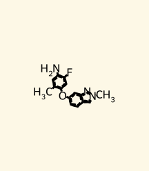 Cc1cc(N)c(F)cc1Oc1ccc2cn(C)nc2c1